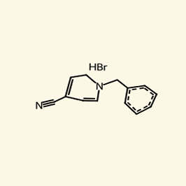 Br.N#CC1=CCN(Cc2ccccc2)C=C1